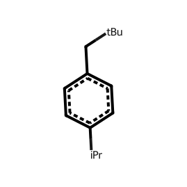 CC(C)c1ccc(CC(C)(C)C)cc1